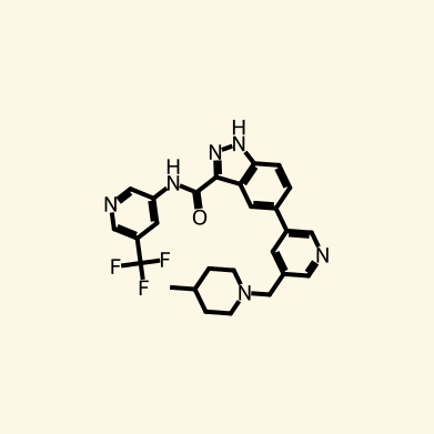 CC1CCN(Cc2cncc(-c3ccc4[nH]nc(C(=O)Nc5cncc(C(F)(F)F)c5)c4c3)c2)CC1